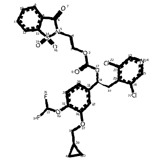 O=C(OCCN1C(=O)c2ccccc2S1(=O)=O)O[C@@H](Cc1c(Cl)cncc1Cl)c1ccc(OC(F)F)c(OCC2CC2)c1